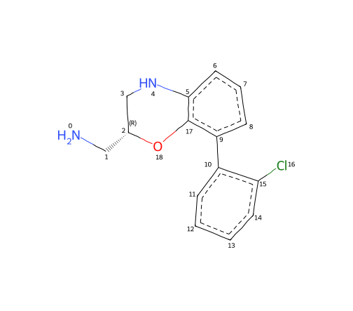 NC[C@@H]1CNc2cccc(-c3ccccc3Cl)c2O1